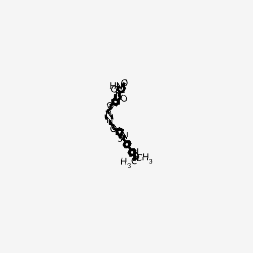 CN(C)c1ccc(-c2ccc(-c3nc4ccc(OCCN5CCN(CCOc6ccc7c(c6)CN(C6CCC(=O)NC6=O)C7=O)CC5)cc4s3)cc2)cn1